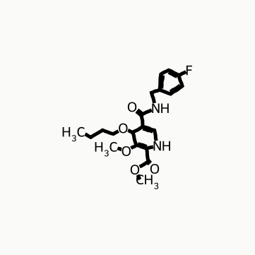 CCCCOC1C(C(=O)NCc2ccc(F)cc2)=CNC(C(=O)OC)=C1OC